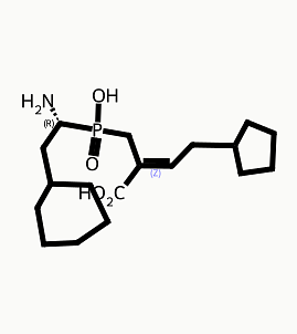 N[C@@H](CC1CCCCC1)P(=O)(O)C/C(=C\CC1CCCC1)C(=O)O